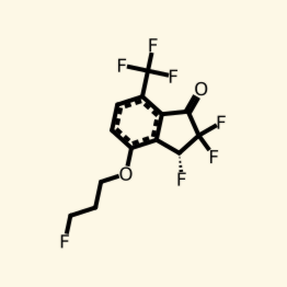 O=C1c2c(C(F)(F)F)ccc(OCCCF)c2[C@@H](F)C1(F)F